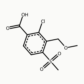 COCc1c(S(C)(=O)=O)ccc(C(=O)O)c1Cl